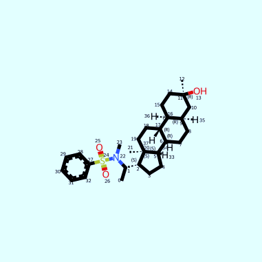 CC([C@H]1CC[C@H]2[C@@H]3CC[C@@H]4C[C@](C)(O)CC[C@@H]4[C@H]3CC[C@]12C)N(C)S(=O)(=O)c1ccccc1